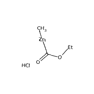 CCO[C](=O)[Zn][CH3].Cl